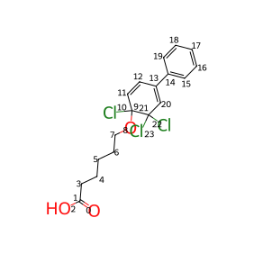 O=C(O)CCCCCOC1(Cl)C=CC(c2ccccc2)=CC1(Cl)Cl